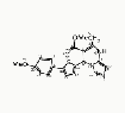 COC(=O)C1=C(C)Nc2nnnn2C1c1ccc(-c2ccc(OC)cc2)s1